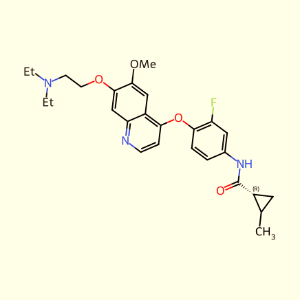 CCN(CC)CCOc1cc2nccc(Oc3ccc(NC(=O)[C@@H]4CC4C)cc3F)c2cc1OC